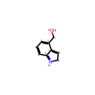 OCc1cccc2c1=CCN=2